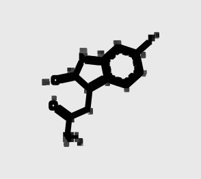 NC(=O)CC1=c2ccc(F)cc2=NC1=O